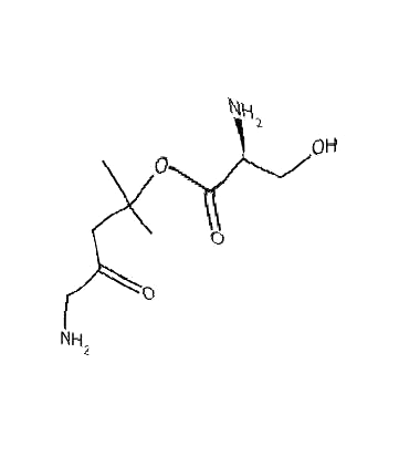 CC(C)(CC(=O)CN)OC(=O)[C@@H](N)CO